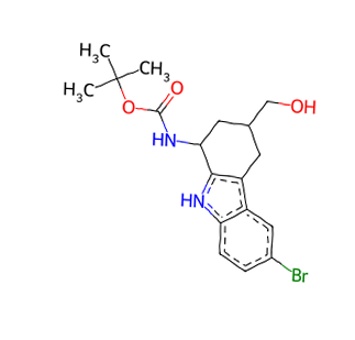 CC(C)(C)OC(=O)NC1CC(CO)Cc2c1[nH]c1ccc(Br)cc21